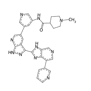 CN1CCC(C(=O)Nc2cncc(-c3cnc4[nH]nc(-c5nc6c(-c7cccnc7)cncc6[nH]5)c4c3)c2)CC1